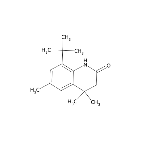 Cc1cc(C(C)(C)C)c2c(c1)C(C)(C)CC(=O)N2